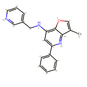 CCc1coc2c(NCc3cccnc3)cc(-c3ccccc3)nc12